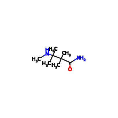 CNC(C)(C)C(C)(C)C(N)=O